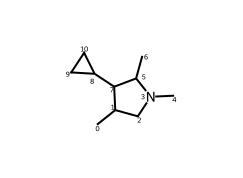 CC1CN(C)C(C)C1C1CC1